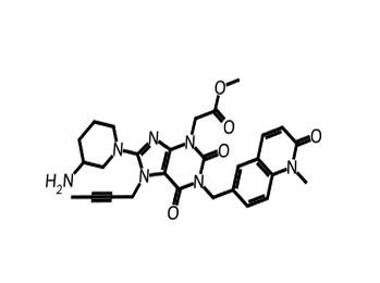 CC#CCn1c(N2CCCC(N)C2)nc2c1c(=O)n(Cc1ccc3c(ccc(=O)n3C)c1)c(=O)n2CC(=O)OC